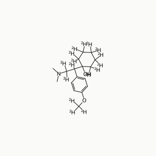 [2H]C([2H])([2H])Oc1ccc(C([2H])(C([2H])([2H])N(C)C)C2(O)C([2H])([2H])C([2H])([2H])C([2H])([2H])C([2H])([2H])C2([2H])[2H])cc1